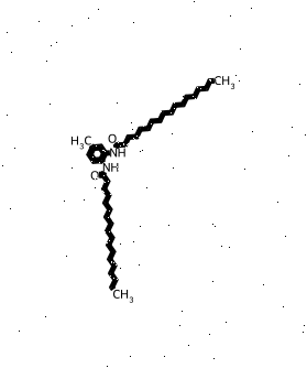 CCCCCCCCCCCCCCCCCC(=O)Nc1ccc(C)cc1NC(=O)CCCCCCCCCCCCCCCCC